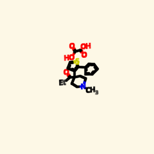 CCC(=O)C1(c2ccsc2-c2ccccc2)CCN(C)CC1.O=C(O)C(=O)O